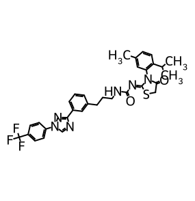 Cc1ccc(C(C)C)c(N2C(=O)CS/C2=N\C(=O)NCCCc2cccc(-c3ncn(-c4ccc(C(F)(F)F)cc4)n3)c2)c1